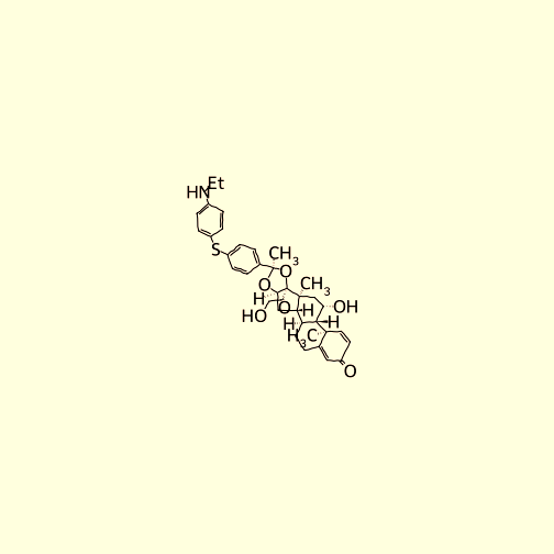 CCNc1ccc(Sc2ccc([C@]3(C)O[C@@H]4C[C@H]5[C@@H]6CCC7=CC(=O)C=C[C@]7(C)[C@H]6[C@@H](O)C[C@]5(C)[C@]4(C(=O)CO)O3)cc2)cc1